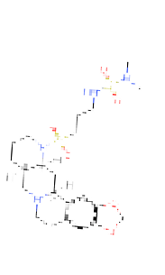 CN(C)S(=O)(=O)NCCCS(=O)(=O)N1CCC[C@@H]2CN3CCc4cc5c(cc4[C@@H]3C[C@@H]21)OCO5